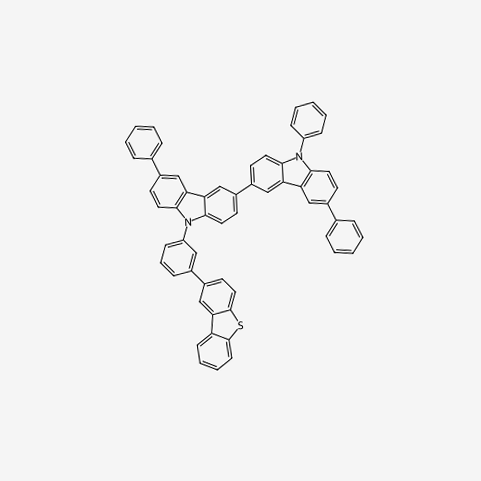 c1ccc(-c2ccc3c(c2)c2cc(-c4ccc5c(c4)c4cc(-c6ccccc6)ccc4n5-c4cccc(-c5ccc6sc7ccccc7c6c5)c4)ccc2n3-c2ccccc2)cc1